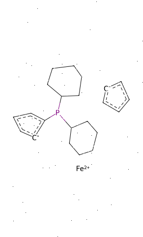 [Fe+2].c1c[cH-]c(P(C2CCCCC2)C2CCCCC2)c1.c1cc[cH-]c1